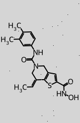 C/C=C1\CN(C(=O)Nc2ccc(C)c(C)c2)Cc2cc(C(=O)NO)sc21